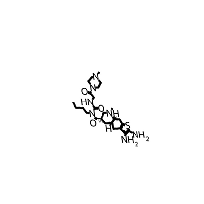 CCCCN(C(=O)NCC(=O)N1CCN(C)CC1)C(=O)[C@@H]1C[C@@H]2Cc3c(sc(N)c3N)C[C@H]2N(C)C1